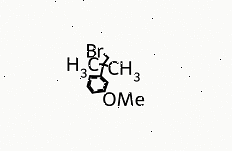 COc1cccc(C(C)(C)CBr)c1